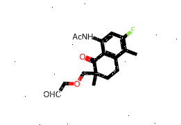 CC(=O)Nc1cc(F)c(C)c2c1C(=O)C(C)(COCC=O)CC2